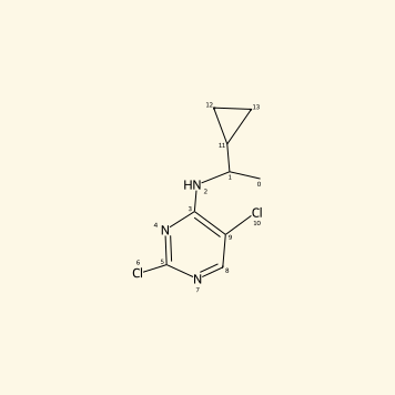 CC(Nc1nc(Cl)ncc1Cl)C1CC1